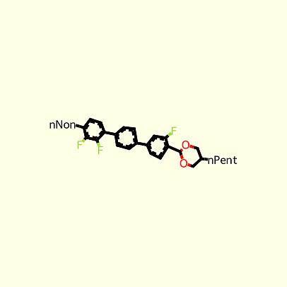 CCCCCCCCCc1ccc(-c2ccc(-c3ccc(C4OCC(CCCCC)CO4)c(F)c3)cc2)c(F)c1F